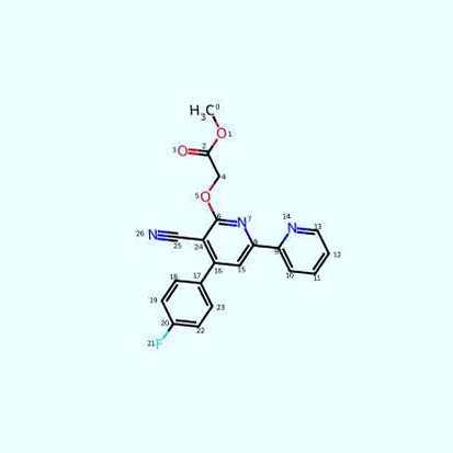 COC(=O)COc1nc(-c2ccccn2)cc(-c2ccc(F)cc2)c1C#N